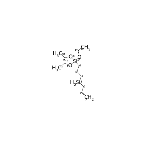 C=CC[SiH2]CCC[Si](OCC)(OCC)OCC